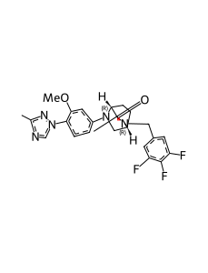 COc1cc(N2C[C@H]3CC[C@@H]2CC(=O)N3Cc2cc(F)c(F)c(F)c2)ccc1-n1cnc(C)n1